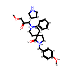 COCC(=O)C([C@@H]1CNC[C@@H]1c1ccccc1)N1CCC2(CCN(Cc3ccc(OC)cc3)C2=O)CC1